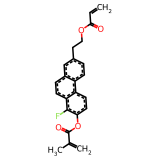 C=CC(=O)OCCc1ccc2c(ccc3c(F)c(OC(=O)C(=C)C)ccc32)c1